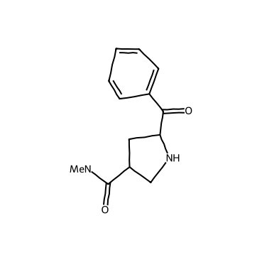 CNC(=O)C1CNC(C(=O)c2ccccc2)C1